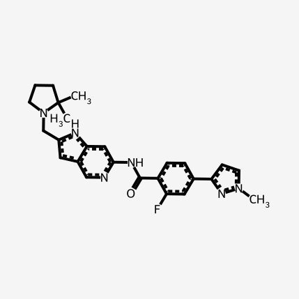 Cn1ccc(-c2ccc(C(=O)Nc3cc4[nH]c(CN5CCCC5(C)C)cc4cn3)c(F)c2)n1